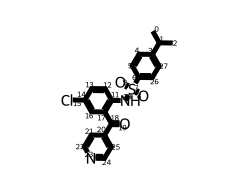 CC(C)c1ccc(S(=O)(=O)Nc2ccc(Cl)cc2C(=O)c2ccncc2)cc1